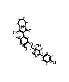 CC1(COc2cc(-c3c(Cl)n4n(c3=O)CCCC4)c(F)cc2Cl)CC(c2ccc(Cl)cc2)=NO1